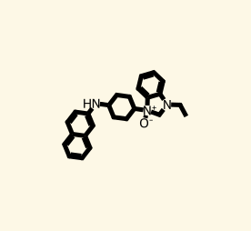 CCN1C[N+]([O-])(C2CCC(Nc3ccc4ccccc4c3)CC2)c2ccccc21